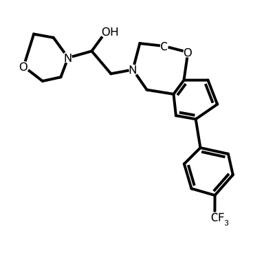 OC(CN1CCOc2ccc(-c3ccc(C(F)(F)F)cc3)cc2C1)N1CCOCC1